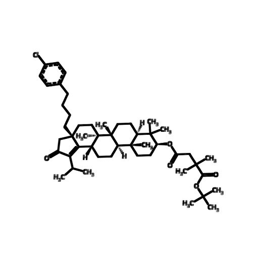 CC(C)C1=C2[C@H]3CC[C@@H]4[C@@]5(C)CC[C@H](OC(=O)CC(C)(C)C(=O)OC(C)(C)C)C(C)(C)[C@@H]5CC[C@@]4(C)[C@]3(C)CC[C@@]2(CCCCc2ccc(Cl)cc2)CC1=O